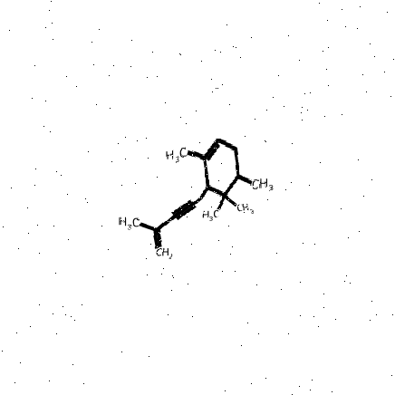 C=C(C)C#CC1C(C)=CCC(C)C1(C)C